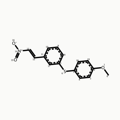 COc1ccc(Sc2cccc(/C=C/[N+](=O)[O-])c2)cc1